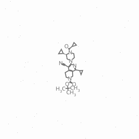 CC(C)(C)OC(=O)N1CCc2c(C#N)c(N3CCN(C(=O)C4CC4)[C@H](C4CC4)C3)nc(C3CC3)c2C1